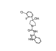 O=C(Nc1n[nH]c2ccccc12)N1CCC(O)(c2cccc(Cl)c2F)CC1